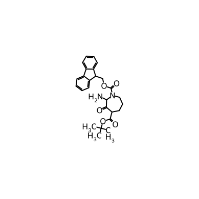 CC(C)(C)OC(=O)C1CCCN(C(=O)OCC2c3ccccc3-c3ccccc32)C(N)C1=O